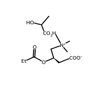 CC(O)C(=O)O.CCC(=O)O[C@H](CC(=O)[O-])C[N+](C)(C)C